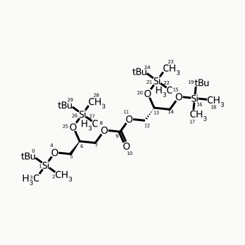 CC(C)(C)[Si](C)(C)OC[C@H](COC(=O)OC[C@@H](CO[Si](C)(C)C(C)(C)C)O[Si](C)(C)C(C)(C)C)O[Si](C)(C)C(C)(C)C